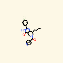 CCCCC1CN(C(=O)C23CCN(CC2)CC3)Cc2c1nc(-c1ccc(Cl)cc1)[nH]c2=O